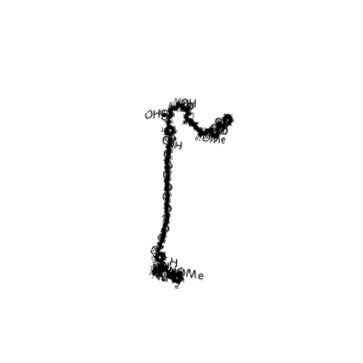 COc1cccc2cc(-c3nc([C@H]4CC[C@H](C(=O)CCCOCCOCCOCCOCCOCCOCCOCCOCCOCCNC(=O)O[C@H]5CC[C@H](CC[C@H](CC[C@H](C)/C=C(\C)[C@@H](O)CC(=O)[C@H](C)C[C@H](C)/C=C/C=C/C=C(\C)[C@H](CC6CCCC(C(=O)C(=O)N7CCCCC7)O6)OC)OC=O)CC5)CC4)n4ncnc(N)c34)[nH]c12